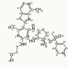 CCOCCNc1nc(C)c(-c2nc3c(C)nccc3s2)c(N[C@@H]2C[C@H](CS(=O)(=O)c3ccncc3)[C@@H](O)[C@H]2O)n1